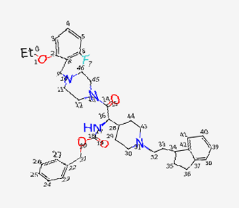 CCOc1cccc(F)c1CN1CCN(C(=O)[C@H](NC(=O)OCc2ccccc2)C2CCN(CCC3CCc4ccccc43)CC2)CC1